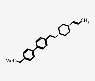 CC=C[C@H]1CC[C@H](CCc2ccc(-c3ccc(COC)cc3)cc2)CC1